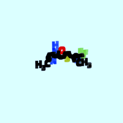 Cc1ccc2c(n1)C(=Cc1ccc(-c3cc(C(F)(F)F)n(C)c3)s1)C(=O)N2